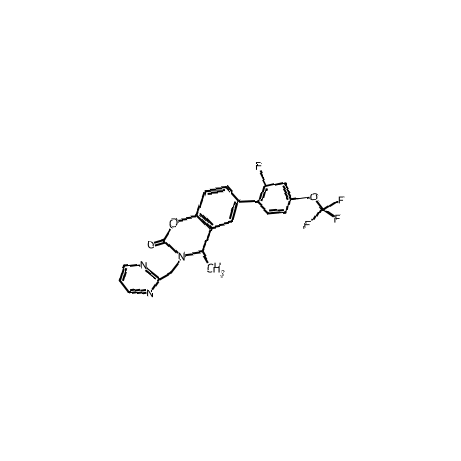 CC1c2cc(-c3ccc(OC(F)(F)F)cc3F)ccc2OC(=O)N1Cc1ncccn1